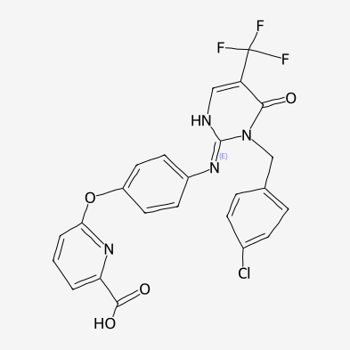 O=C(O)c1cccc(Oc2ccc(/N=c3\[nH]cc(C(F)(F)F)c(=O)n3Cc3ccc(Cl)cc3)cc2)n1